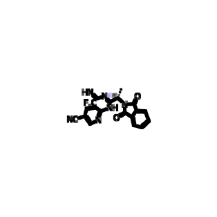 C[C@@H](/C(=N/C(=N)C(F)(F)F)Nc1ccc(C#N)cn1)N1C(=O)c2ccccc2C1=O